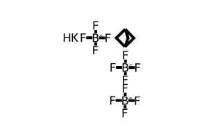 C1C2CC1C2.F[B-](F)(F)F.F[B-](F)(F)F.F[B-](F)(F)F.[KH]